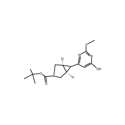 CSc1nc(O)cc(C2[C@H]3CN(C(=O)OC(C)(C)C)C[C@@H]23)n1